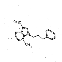 Cc1cccc2c(C=O)cn(CCCc3ccccc3)c12